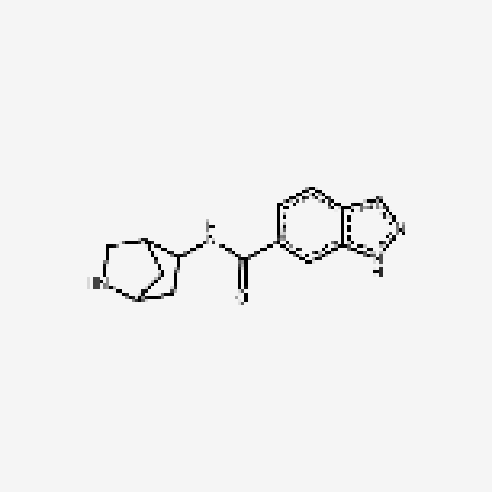 O=C(NC1CC2CC1CN2)c1ccc2cn[nH]c2c1